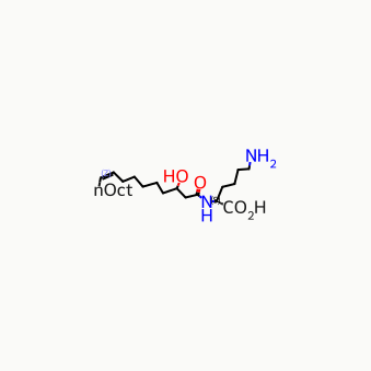 CCCCCCCC/C=C\CCCCCC(O)CC(=O)N[C@@H](CCCCN)C(=O)O